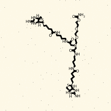 N=C1N[C@H]2[C@H](CS[C@H]2CCCCC(=O)NCCCCNC(=O)CN(CCOCCOCCOC(N)=O)CC(=O)NCCCCNC(=O)CCCC[C@@H]2SC[C@@H]3NC(=N)N[C@@H]32)N1